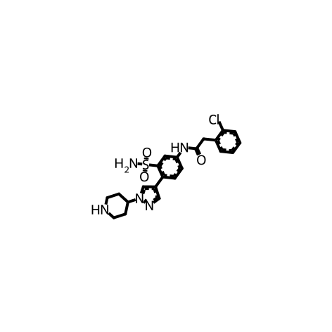 NS(=O)(=O)c1cc(NC(=O)Cc2ccccc2Cl)ccc1-c1cnn(C2CCNCC2)c1